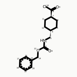 O=C(NC[C@H]1CC[C@H](C(=O)Cl)CC1)OCc1ccccc1